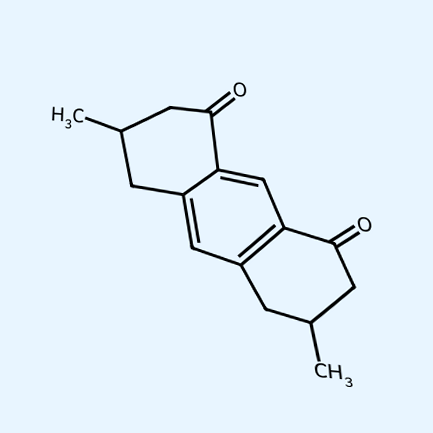 CC1CC(=O)c2cc3c(cc2C1)CC(C)CC3=O